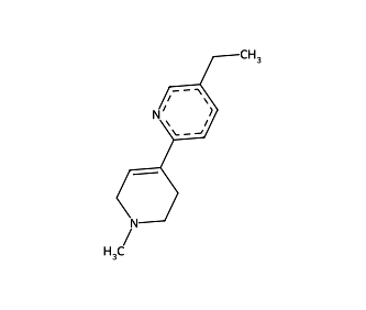 CCc1ccc(C2=CCN(C)CC2)nc1